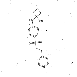 N#CC1(Nc2ccc(S(=O)(=O)CCc3ccncc3)cc2)CCC1